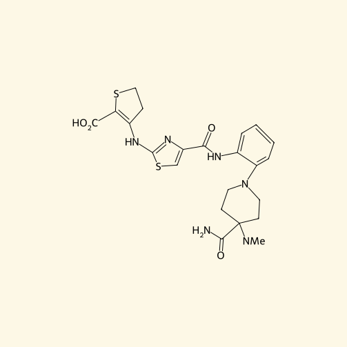 CNC1(C(N)=O)CCN(c2ccccc2NC(=O)c2csc(NC3=C(C(=O)O)SCC3)n2)CC1